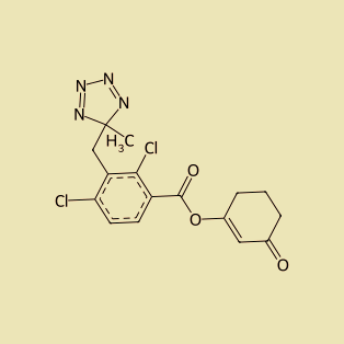 CC1(Cc2c(Cl)ccc(C(=O)OC3=CC(=O)CCC3)c2Cl)N=NN=N1